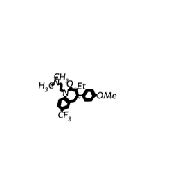 CC[C@@H]1C(=O)N(CCN(C)C)c2ccc(C(F)(F)F)cc2C[C@@H]1c1ccc(OC)cc1